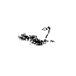 CCCCCCCC/C=C\CCCCCCCCCCCCCCCC(=O)N[C@@H](CO[C@@H]1OC(CO)[C@@H](O[C@@H]2OC(CO)[C@H](O)[C@H](O[C@@H]3OC(CO)[C@@H](O[C@@H]4OC(CO)[C@H](O)[C@H](O[C@@H]5OC(CO)[C@H](O)[C@H](O[C@]6(C(=O)O)CC(O)[C@@H](NC(C)=O)C([C@H](O)[C@H](O)CO)O6)C5NC(C)=O)C4O)[C@H](O)C3NC(C)=O)C2O)[C@H](O)C1O)[C@H](O)/C=C/CCCCCCCCCCCCC